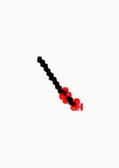 CCCCCCCCCCCCCCCCC12OC1(OC(=O)CCC(=O)O)O2